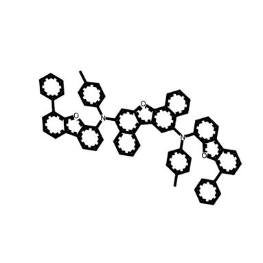 Cc1ccc(N(c2cc3c(oc4cc(N(c5ccc(C)cc5)c5cccc6c5oc5c(-c7ccccc7)cccc56)c5ccccc5c43)c3ccccc23)c2cccc3c2oc2c(-c4ccccc4)cccc23)cc1